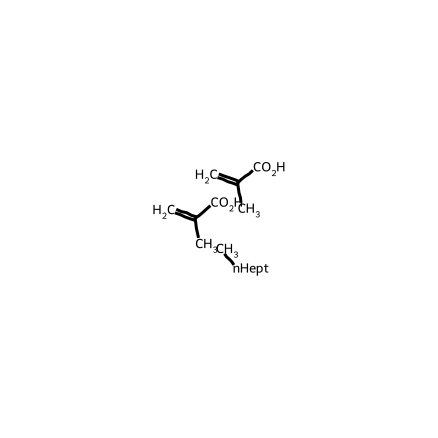 C=C(C)C(=O)O.C=C(C)C(=O)O.CCCCCCCC